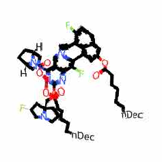 C#Cc1c(F)ccc2cc(OC(=O)CCCCCCCCCCCCCCC)cc(-c3ncc4c(N5C[C@H]6CC[C@@H](C5)N6C(=O)OCOC(=O)CCCCCCCCCCCCCCC)nc(OC[C@@]56CCCN5C[C@H](F)C6)nc4c3F)c12